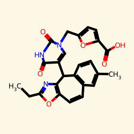 CCc1nc2c(o1)C=Cc1cc(C)ccc1C2c1cn(Cc2ccc(C(=O)O)o2)c(=O)[nH]c1=O